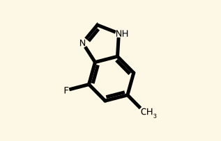 Cc1cc(F)c2n[c][nH]c2c1